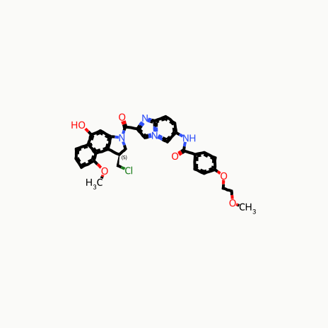 COCCOc1ccc(C(=O)Nc2ccc3nc(C(=O)N4C[C@@H](CCl)c5c4cc(O)c4cccc(OC)c54)cn3c2)cc1